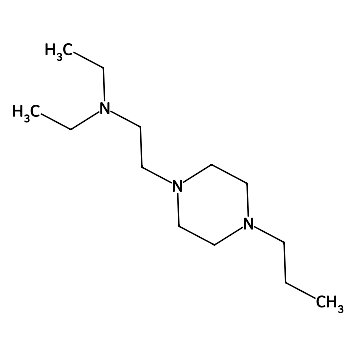 CCCN1CCN(CCN(CC)CC)CC1